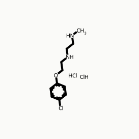 CNCCNCCOc1ccc(Cl)cc1.Cl.Cl